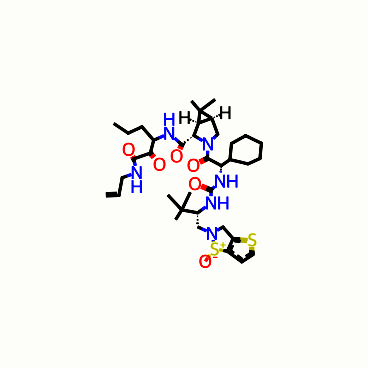 C=CCNC(=O)C(=O)C(CCC)NC(=O)[C@@H]1[C@@H]2[C@H](CN1C(=O)[C@@H](NC(=O)N[C@H](CN1Cc3sccc3[S+]1[O-])C(C)(C)C)C1CCCCC1)C2(C)C